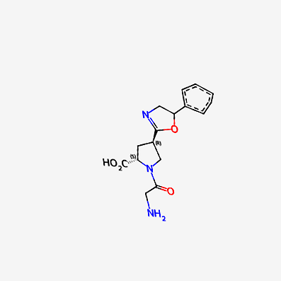 NCC(=O)N1C[C@H](C2=NCC(c3ccccc3)O2)C[C@H]1C(=O)O